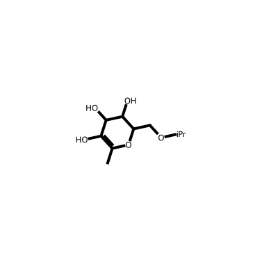 CC1=C(O)C(O)C(O)C(COC(C)C)O1